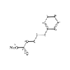 COC(=O)OCCCc1ccccc1